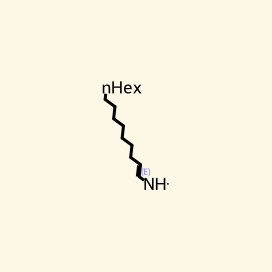 CCCCCCCCCCCCC/C=C/[NH]